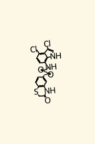 O=C1CSc2ccc(S(=O)(=O)Nc3ccc(Cl)c4c(Cl)c[nH]c34)cc2N1